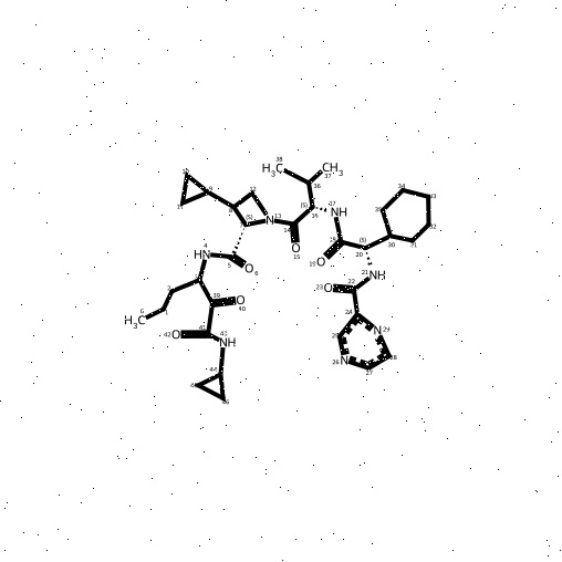 CCCC(NC(=O)[C@@H]1C(C2CC2)CN1C(=O)[C@@H](NC(=O)[C@@H](NC(=O)c1cnccn1)C1CCCCC1)C(C)C)C(=O)C(=O)NC1CC1